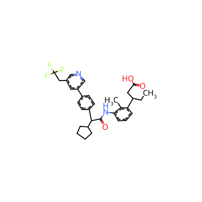 CCC(CC(=O)O)c1cccc(NC(=O)C(c2ccc(-c3cncc(CC(F)(F)F)c3)cc2)C2CCCC2)c1C